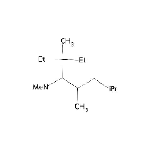 CCC(C)(CC)C(NC)C(C)CC(C)C